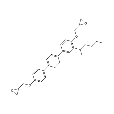 CCCCC(C)c1cc(C2=CC=C(c3ccc(OCC4CO4)cc3)CC2)ccc1OCC1CO1